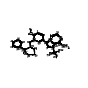 COC1C=CC(c2cc(C(F)(F)F)c3c(N)ncnn23)=CN1CC1CCCOC1c1ccccc1